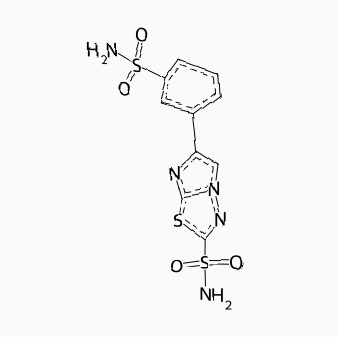 NS(=O)(=O)c1cccc(-c2cn3nc(S(N)(=O)=O)sc3n2)c1